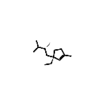 CC[C@]1(C[C@@H](F)C(C)C)C=C(C)CC1